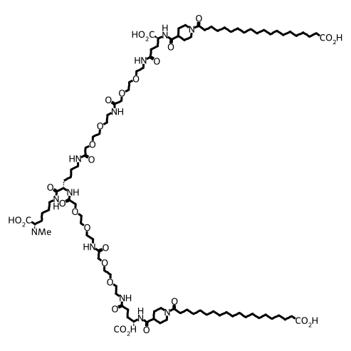 CN[C@@H](CCCCNC(=O)[C@H](CCCCNC(=O)COCCOCCNC(=O)COCCOCCNC(=O)CC[C@H](NC(=O)C1CCN(C(=O)CCCCCCCCCCCCCCCCCCC(=O)O)CC1)C(=O)O)NC(=O)COCCOCCNC(=O)COCCOCCNC(=O)CC[C@H](NC(=O)C1CCN(C(=O)CCCCCCCCCCCCCCCCCCC(=O)O)CC1)C(=O)O)C(=O)O